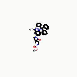 CC(C)(C)OC(=O)N1CCC2(CCN(c3ccc4c(c3)c(C#N)nn4C(c3ccccc3)(c3ccccc3)c3ccccc3)C2=O)C1